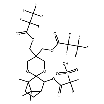 CC1(C)C2CCC1(C)C1(OCC(COC(=O)C(F)(F)C(F)(F)F)(COC(=O)C(F)(F)C(F)(F)F)CO1)C2OC(=O)C(F)(F)S(=O)(=O)O